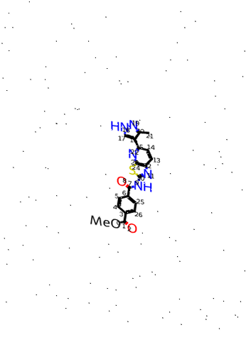 COC(=O)c1ccc(C(=O)Nc2nc3ccc(-c4c[nH]nc4C)nc3s2)cc1